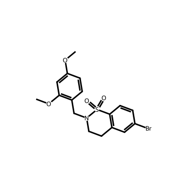 COc1ccc(CN2CCc3cc(Br)ccc3S2(=O)=O)c(OC)c1